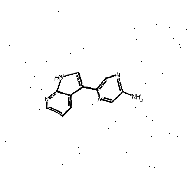 Nc1cnc(-c2c[nH]c3ncccc23)cn1